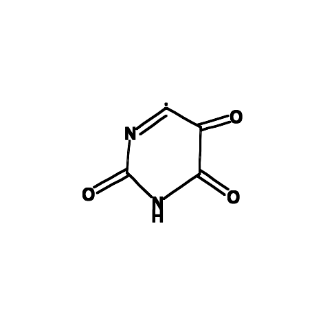 O=C1N=[C]C(=O)C(=O)N1